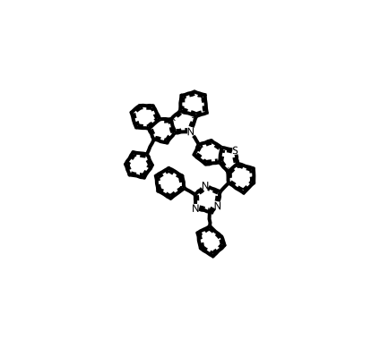 c1ccc(-c2nc(-c3ccccc3)nc(-c3cccc4sc5cc(-n6c7ccccc7c7c8ccccc8c(-c8ccccc8)cc76)ccc5c34)n2)cc1